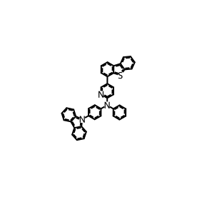 c1ccc(N(c2ccc(-n3c4ccccc4c4ccccc43)cc2)c2ccc(-c3cccc4c3sc3ccccc34)cn2)cc1